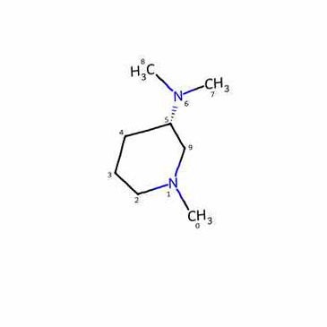 CN1CCC[C@H](N(C)C)C1